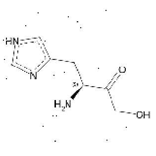 N[C@@H](Cc1c[nH]cn1)C(=O)CO